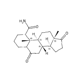 C[C@]12C(C(N)=O)CCCC1C(=O)C[C@@H]1[C@@H]2CC[C@]2(C)C(=O)CC[C@@H]12